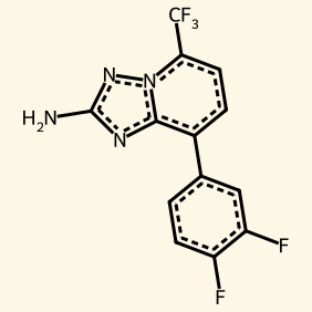 Nc1nc2c(-c3ccc(F)c(F)c3)ccc(C(F)(F)F)n2n1